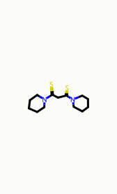 S=C(CC(=S)N1CCCCC1)N1CCCCC1